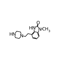 Cn1c(=O)[nH]c2c(CCN3CCNCC3)cccc21